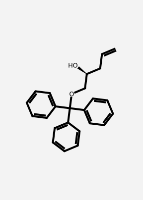 C=CC[C@H](O)COC(c1ccccc1)(c1ccccc1)c1ccccc1